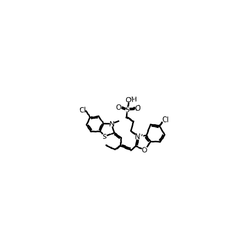 CCC(=Cc1oc2ccc(Cl)cc2[n+]1CCCS(=O)(=O)O)C=C1Sc2ccc(Cl)cc2N1C